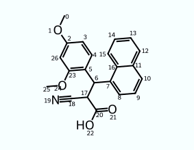 COc1ccc(C(c2cccc3ccccc23)C(C#N)C(=O)O)c(OC)c1